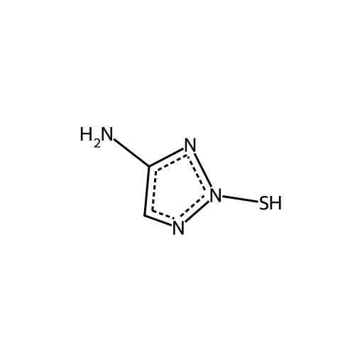 Nc1cnn(S)n1